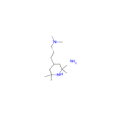 CN(C)CCCC1CC(C)(C)NC(C)(C)C1.N